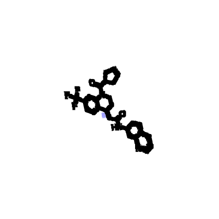 O=C(/C=C1\CCN(C(=O)C2CCCC2)c2cc(C(F)(F)F)ccc21)Nc1ccc2cccnc2c1